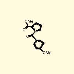 COC(=O)c1cccn1C(=O)c1ccc(OC)cc1